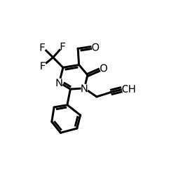 C#CCn1c(-c2ccccc2)nc(C(F)(F)F)c(C=O)c1=O